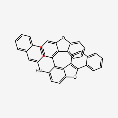 c1ccc2cc(Nc3ccc4oc5c6ccccc6ccc5c4c3-c3cccc4oc5ccccc5c34)ccc2c1